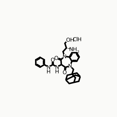 Cl.N[C@@H](CO)CN1C(=O)C(NC(=O)Nc2ccccc2)C(=O)N(CC23CC4CC(CC(C4)C2)C3)c2ccccc21